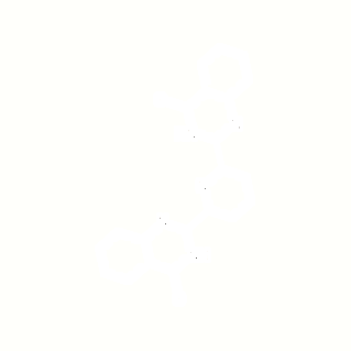 O=c1[nH]c(-c2cccc(-c3nc4ccccc4c(=O)[nH]3)n2)nc2ccccc12